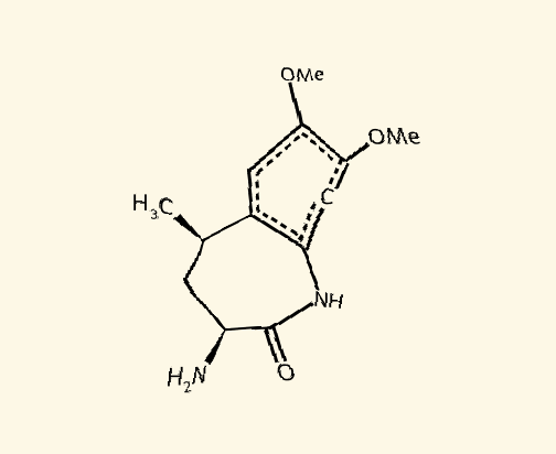 COc1cc2c(cc1OC)[C@H](C)C[C@H](N)C(=O)N2